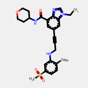 COc1ccc(S(C)(=O)=O)cc1NCC#Cc1cc(C(=O)NC2CCOCC2)c2ncn(CC(F)(F)F)c2c1